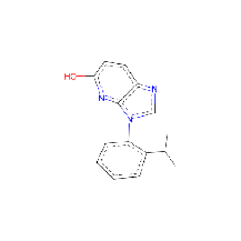 CC(C)c1ccccc1-n1cnc2ccc(O)nc21